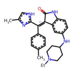 CCN1CCC(Nc2ccc3c(c2)/C(=C(\c2ccc(C)cc2)c2nc(C)c[nH]2)C(=O)N3)CC1